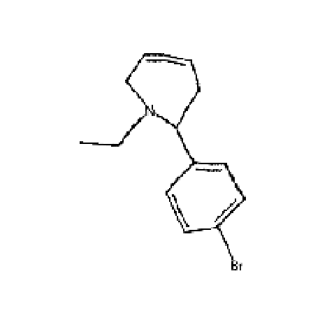 CCN1CC=CCC1c1ccc(Br)cc1